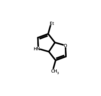 CCC1=CNC2C(C)=COC12